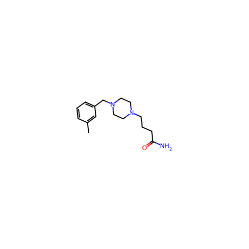 Cc1cccc(CN2CCN(CCCC(N)=O)CC2)c1